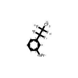 CC[CH]c1cccc(C(F)(F)C(F)(F)C(F)(F)F)c1